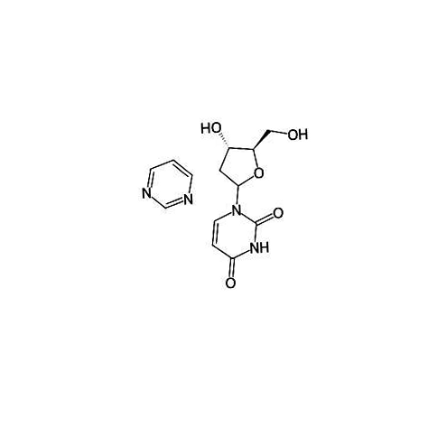 O=c1ccn(C2C[C@H](O)[C@@H](CO)O2)c(=O)[nH]1.c1cncnc1